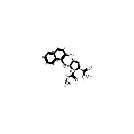 COC(=O)[C@@H]1C[C@@H](Oc2ccc3ccccc3c2Br)CN1C(=O)OC(C)(C)C